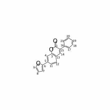 O=c1oc2cc(-c3ccco3)ccc2cc1-c1ccccc1